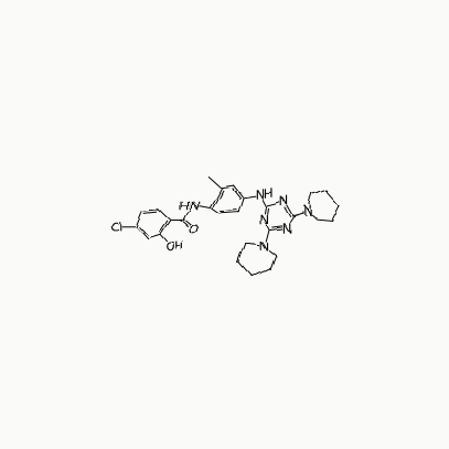 Cc1cc(Nc2nc(N3CCCCC3)nc(N3CCCCC3)n2)ccc1NC(=O)c1ccc(Cl)cc1O